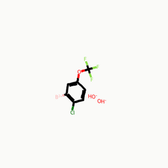 [B+2]c1cc(OC(F)(F)F)ccc1Cl.[OH-].[OH-]